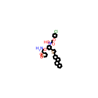 NC(=O)CC1C=CC=CS1(=O)=O.O=C(COc1ccc(Cl)cc1)N(O)c1cccc(-c2ccc(C3=Cc4ccc5c(c4CC3)CCc3ccccc3-5)s2)c1